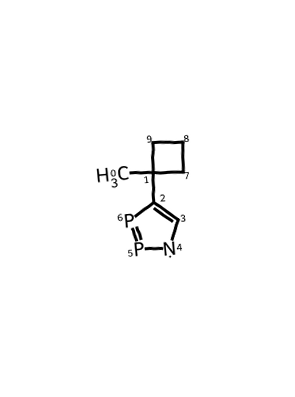 CC1(C2=C[N]P=P2)CCC1